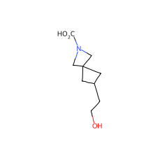 O=C(O)N1CC2(CC(CCO)C2)C1